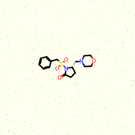 O=C1CC[C@@H](CN2CCOCC2)N1S(=O)(=O)Cc1ccccc1